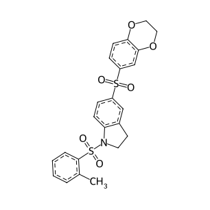 Cc1ccccc1S(=O)(=O)N1CCc2cc(S(=O)(=O)c3ccc4c(c3)OCCO4)ccc21